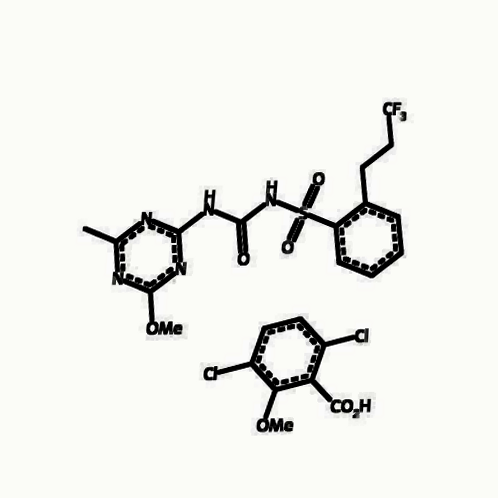 COc1c(Cl)ccc(Cl)c1C(=O)O.COc1nc(C)nc(NC(=O)NS(=O)(=O)c2ccccc2CCC(F)(F)F)n1